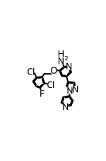 Nc1ncc(-c2cnn(-c3ccncc3)c2)cc1OCCc1c(Cl)ccc(F)c1Cl